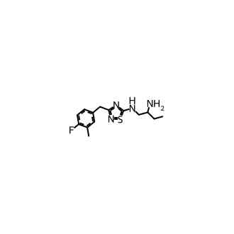 CCC(N)CNc1nc(Cc2ccc(F)c(C)c2)ns1